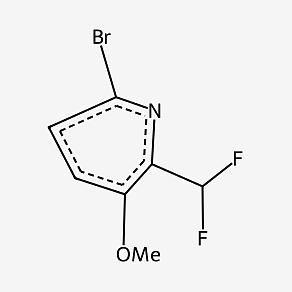 COc1ccc(Br)nc1C(F)F